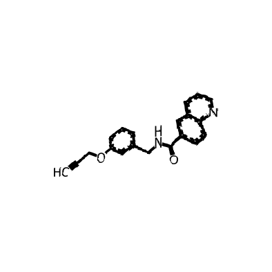 C#CCOc1cccc(CNC(=O)c2ccc3ncccc3c2)c1